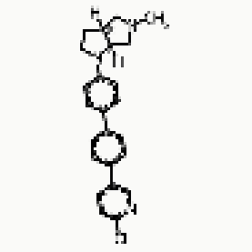 CN1C[C@H]2CCN(c3ccc(-c4ccc(-c5ccc(Cl)nc5)cc4)cc3)[C@H]2C1